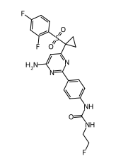 Nc1cc(C2(S(=O)(=O)c3ccc(F)cc3F)CC2)nc(-c2ccc(NC(=O)NCCF)cc2)n1